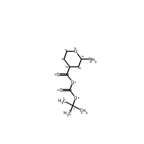 CC(C)(C)OC(=O)OC(=O)C1CCOC(N)C1